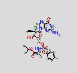 C#C[C@@]1(Cl)[C@@H](O)[C@@H](COP(=O)(N[C@@H](C)C(=O)OC(C)C)Oc2ccccc2)O[C@H]1n1cnc2c(=O)[nH]c(N)nc21